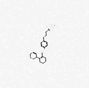 COC(=O)CCCc1ccc(OCC2=C(C3C=CCCC3)CCCC2)cc1